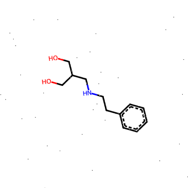 OCC(CO)CNCCc1ccccc1